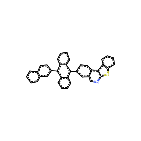 c1ccc2cc(-c3c4ccccc4c(-c4ccc5c(cnc6sc7ccccc7c65)c4)c4ccccc34)ccc2c1